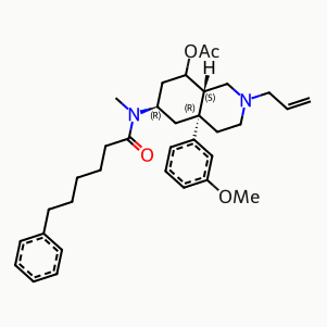 C=CCN1CC[C@@]2(c3cccc(OC)c3)C[C@@H](N(C)C(=O)CCCCCc3ccccc3)CC(OC(C)=O)[C@@H]2C1